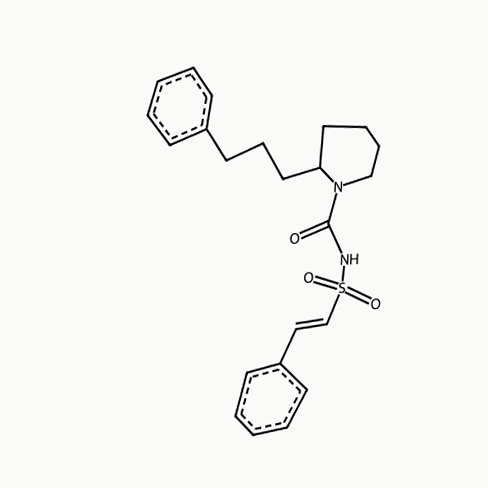 O=C(NS(=O)(=O)/C=C/c1ccccc1)N1CCCCC1CCCc1ccccc1